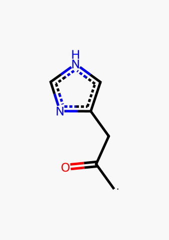 [CH2]C(=O)Cc1c[nH]cn1